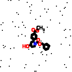 COC(=O)c1ccc([C@H]2C[C@H](O)CCN2C(=O)OCc2ccccc2)cc1